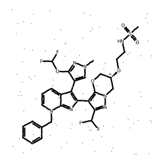 Cn1cc(-c2c3cccn(Cc4ccccc4)c-3nc2-c2c(C(F)F)nn3c2OC[C@@H](OCCNS(C)(=O)=O)C3)c(OC(F)F)n1